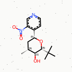 C[C@@H]1C[C@H](c2ccncc2[N+](=O)[O-])O[C@H](C(C)(C)C)[C@H]1O